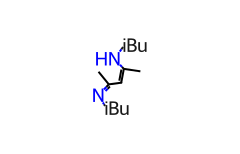 CCC(C)N=C(C)C=C(C)NC(C)CC